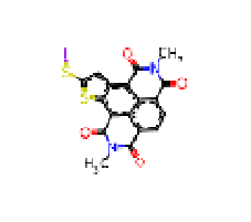 CN1C(=O)c2ccc3c4c(c5sc(SI)cc5c(c24)C1=O)C(=O)N(C)C3=O